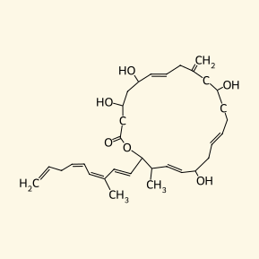 C=CC\C=C/C=C(C)\C=C\C1OC(=O)CC(O)CC(O)/C=C/CC(=C)CC(O)CC/C=C/CC(O)/C=C/C1C